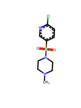 CN1CCN(S(=O)(=O)c2ccc(Cl)nc2)CC1